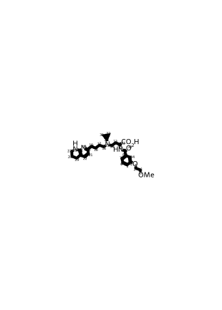 COCCOc1cccc(C(=O)NC(CCN(CCCCc2ccc3c(n2)NCCC3)C2CC2)C(=O)O)c1